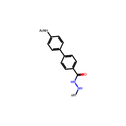 CCCNNC(=O)c1ccc(-c2ccc(NC(C)=O)cc2)cc1